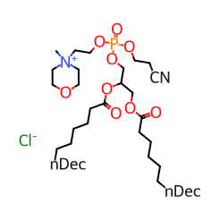 CCCCCCCCCCCCCCCC(=O)OCC(COP(=O)(OCCC#N)OCC[N+]1(C)CCOCC1)OC(=O)CCCCCCCCCCCCCCC.[Cl-]